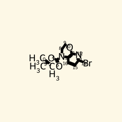 CC(C)(C)OC(=O)N1CCOc2nc(Br)ccc21